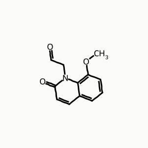 COc1cccc2ccc(=O)n(CC=O)c12